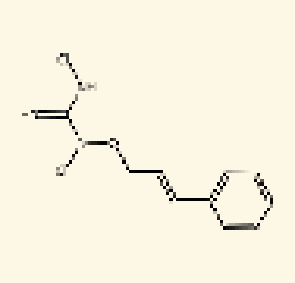 N=C(NCl)N(Cl)OCC=Cc1ccccc1